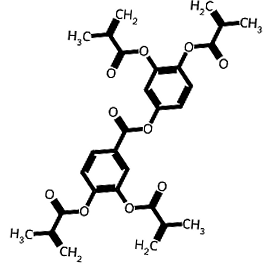 C=C(C)C(=O)Oc1ccc(OC(=O)c2ccc(OC(=O)C(=C)C)c(OC(=O)C(=C)C)c2)cc1OC(=O)C(=C)C